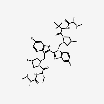 CC[C@H](NC(=O)[C@H](C)NC)C(=O)N1C[C@@H](F)C[C@H]1Cc1c(-c2nc3cc(F)ccc3n2C[C@@H]2C[C@H](F)CN2C(=O)C(NC(=O)[C@H](C)NC)C(C)(C)C)[nH]c2cc(F)ccc12